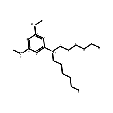 CCCCCCN(CCCCCC)c1cc(OC)cc(OC)c1